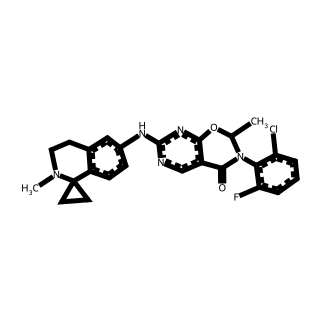 CC1Oc2nc(Nc3ccc4c(c3)CCN(C)C43CC3)ncc2C(=O)N1c1c(F)cccc1Cl